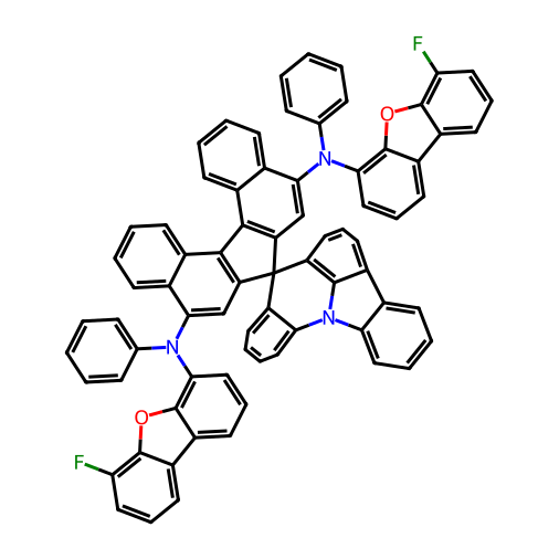 Fc1cccc2c1oc1c(N(c3ccccc3)c3cc4c(c5ccccc35)-c3c(cc(N(c5ccccc5)c5cccc6c5oc5c(F)cccc56)c5ccccc35)C43c4ccccc4-n4c5ccccc5c5cccc3c54)cccc12